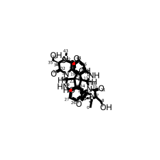 CN1C(=O)[C@@]23SSC1(CO)C(=O)N2[C@H]1Nc2ccccc2[C@@]1(C12c4ccccc4N[C@@H]1N1C(=O)[C@]4(CO)SS[C@]1(C(=O)N4C)[C@H]2O)[C@@H]3O